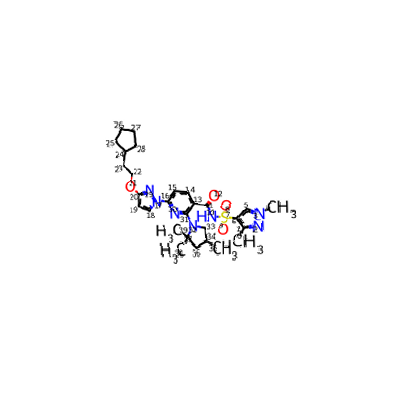 Cc1nn(C)cc1S(=O)(=O)NC(=O)c1ccc(-n2ccc(OCCC3CCCC3)n2)nc1N1C[C@@H](C)CC1(C)C